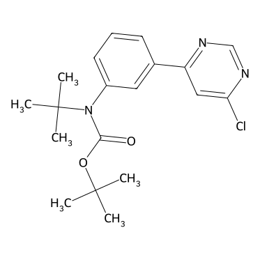 CC(C)(C)OC(=O)N(c1cccc(-c2cc(Cl)ncn2)c1)C(C)(C)C